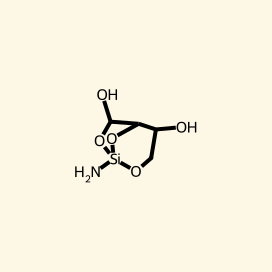 N[Si]12OCC(O)C(O1)C(O)O2